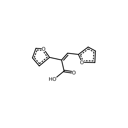 O=C(O)/C(=C\c1ccco1)c1ccco1